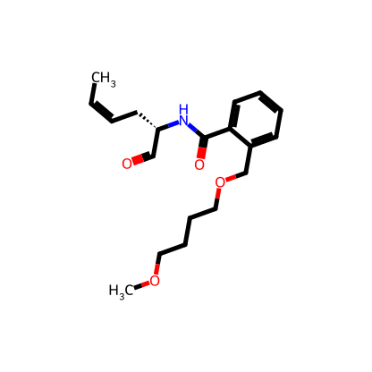 C/C=C\C[C@@H](C=O)NC(=O)c1ccccc1COCCCCOC